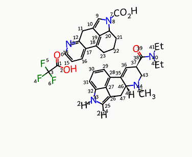 O=C(O)C(F)(F)F.O=C(O)N1C=C2Cc3ncccc3C3=C2C1CCC3.[2H]c1c2c3c(cccc3n1[2H])C1=C[C@@H](C(=O)N(CC)CC)CN(C)[C@@H]1C2